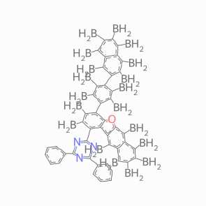 Bc1c(B)c(-c2c(B)c(B)c(-c3nc(-c4ccccc4)nc(-c4ccccc4)n3)c3c2oc2c(B)c4c(B)c(B)c(B)c(B)c4c(B)c23)c(B)c(B)c1-c1c(B)c(B)c2c(B)c(B)c(B)c(B)c2c1B